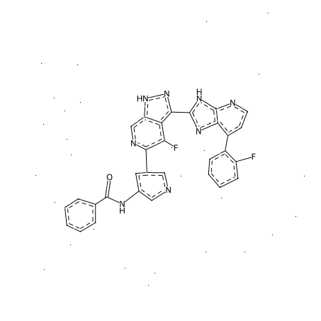 O=C(Nc1cncc(-c2ncc3[nH]nc(-c4nc5c(-c6ccccc6F)ccnc5[nH]4)c3c2F)c1)c1ccccc1